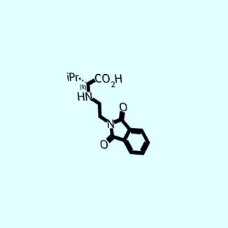 CC(C)[C@@H](NCCN1C(=O)c2ccccc2C1=O)C(=O)O